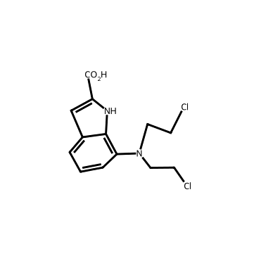 O=C(O)c1cc2cccc(N(CCCl)CCCl)c2[nH]1